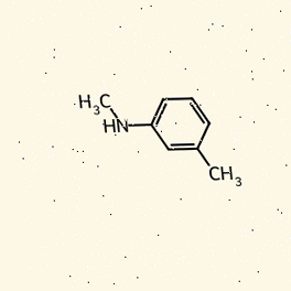 CNc1cccc(C)c1